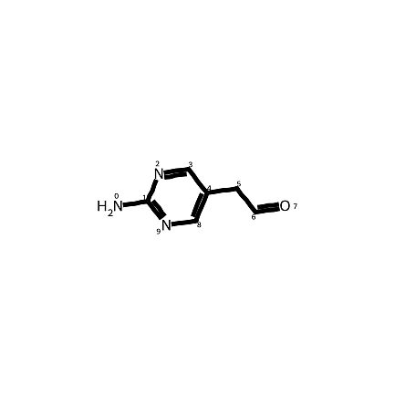 Nc1ncc(CC=O)cn1